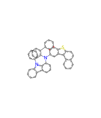 c1ccc(-c2ccccc2N(c2ccc3sc4ccc5ccccc5c4c3c2)c2cccc3c4ccccc4n(-c4ccccc4)c23)cc1